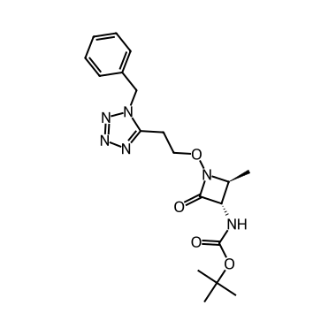 C[C@H]1[C@H](NC(=O)OC(C)(C)C)C(=O)N1OCCc1nnnn1Cc1ccccc1